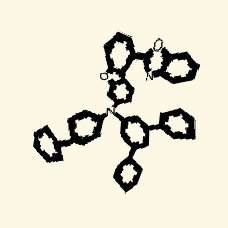 c1ccc(-c2ccc(N(c3cc(-c4ccccc4)cc(-c4ccccc4)c3)c3ccc4c(c3)oc3cccc(-c5nc6ccccc6o5)c34)cc2)cc1